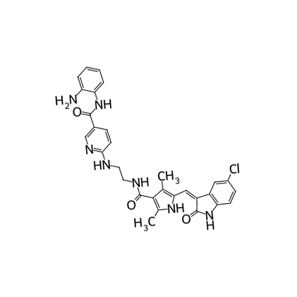 Cc1[nH]c(/C=C2\C(=O)Nc3ccc(Cl)cc32)c(C)c1C(=O)NCCNc1ccc(C(=O)Nc2ccccc2N)cn1